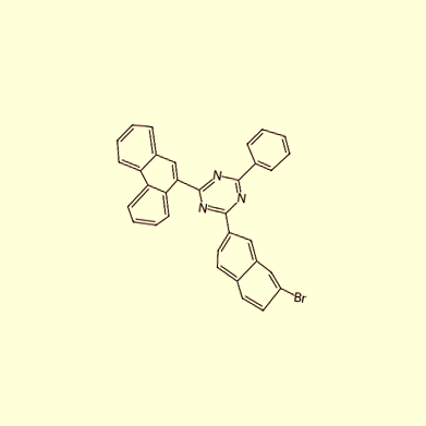 Brc1ccc2ccc(-c3nc(-c4ccccc4)nc(-c4cc5ccccc5c5ccccc45)n3)cc2c1